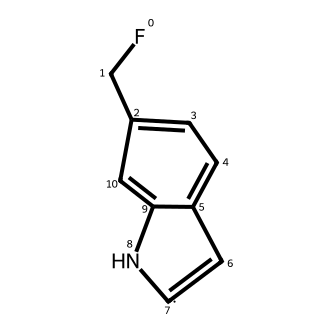 FCc1ccc2c[c][nH]c2c1